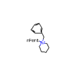 CCCCC[N+]1(Cc2ccccc2)CCCCC1